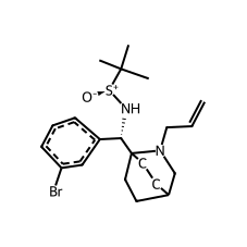 C=CCN1CC2CCC1([C@@H](N[S@@+]([O-])C(C)(C)C)c1cccc(Br)c1)CC2